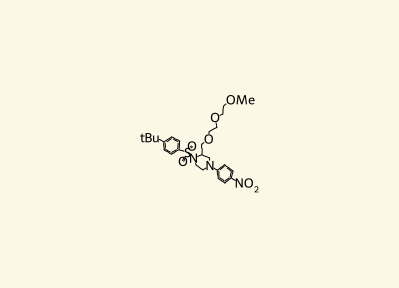 COCCOCCOCC1CN(c2ccc([N+](=O)[O-])cc2)CCN1S(=O)(=O)c1ccc(C(C)(C)C)cc1